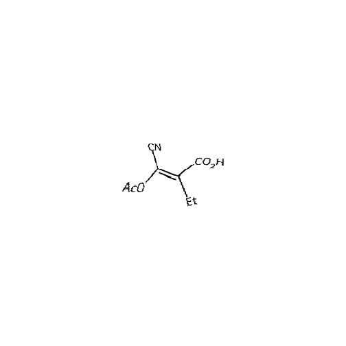 CCC(C(=O)O)=C(C#N)OC(C)=O